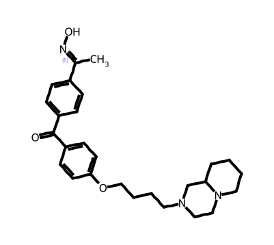 C/C(=N\O)c1ccc(C(=O)c2ccc(OCCCCN3CCN4CCCCC4C3)cc2)cc1